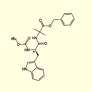 CC(C)(C)OC(=O)N[C@H](Cc1c[nH]c2ccccc12)C(=O)NC(C)(C)C(=O)OCc1ccccc1